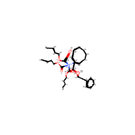 CCCCOC(=O)[N+](C(=O)OCCCC)(C(=O)OCCCC)C1(C(=O)OCc2ccccc2)CCCCCCC1